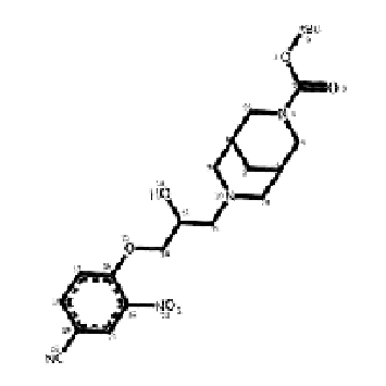 CC(C)(C)OC(=O)N1CC2CC(CN(CC(O)COc3ccc(C#N)cc3[N+](=O)[O-])C2)C1